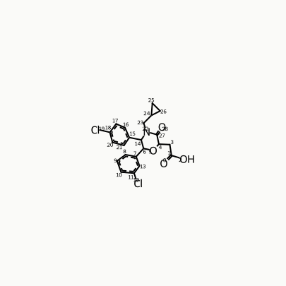 O=C(O)CC1OC(c2cccc(Cl)c2)C(c2ccc(Cl)cc2)N(CC2CC2)C1=O